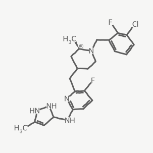 CC1=CC(Nc2ccc(F)c(CC3CCN(Cc4cccc(Cl)c4F)[C@H](C)C3)n2)NN1